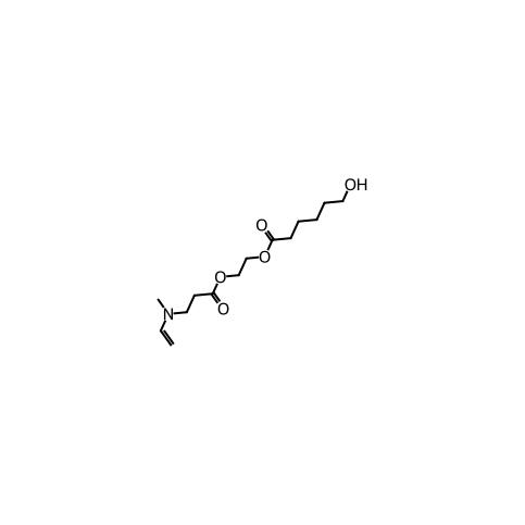 C=CN(C)CCC(=O)OCCOC(=O)CCCCCO